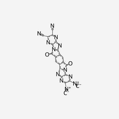 [C-]#[N+]c1nc2nc3c4cc5c(=O)n6c7nc(C#N)c(C#N)nc7nc6c5cc4c(=O)n3c2nc1[N+]#[C-]